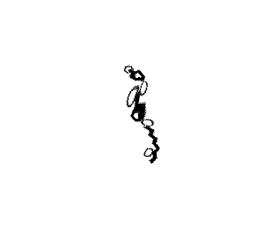 C=CC(=O)CCCCCCOc1ccc(C(=O)Oc2ccc(OC)cc2)cc1